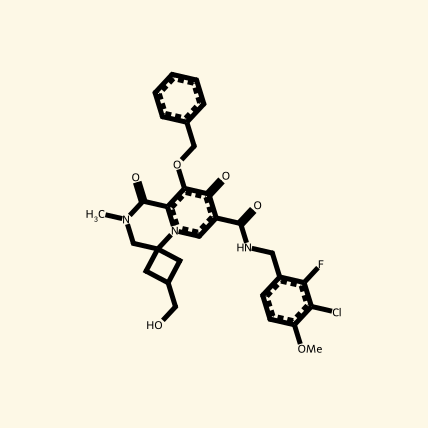 COc1ccc(CNC(=O)c2cn3c(c(OCc4ccccc4)c2=O)C(=O)N(C)CC32CC(CO)C2)c(F)c1Cl